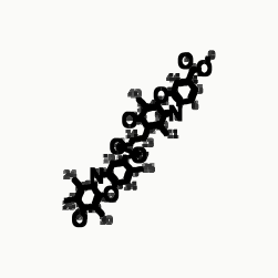 COC(=O)c1ccc2nc3c(C)c(CCS(=O)(=O)c4cc5nc6c(C)c(C)c(=O)c(C)c-6oc5cc4C)c(=O)c(C)c-3oc2c1